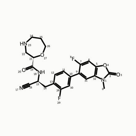 Cn1c(=O)oc2cc(F)c(-c3ccc(C[C@@H](C#N)NC(=O)[C@@H]4CNCCCO4)c(F)c3)cc21